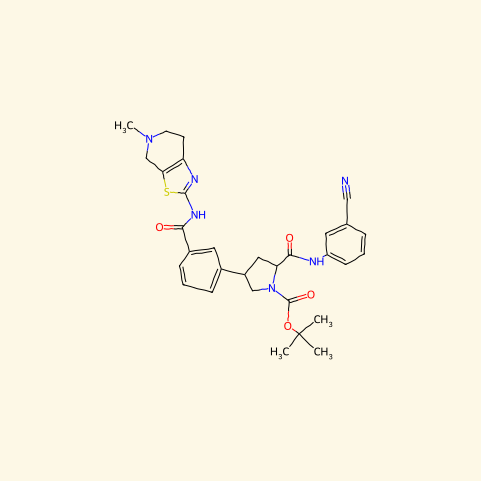 CN1CCc2nc(NC(=O)c3cccc(C4CC(C(=O)Nc5cccc(C#N)c5)N(C(=O)OC(C)(C)C)C4)c3)sc2C1